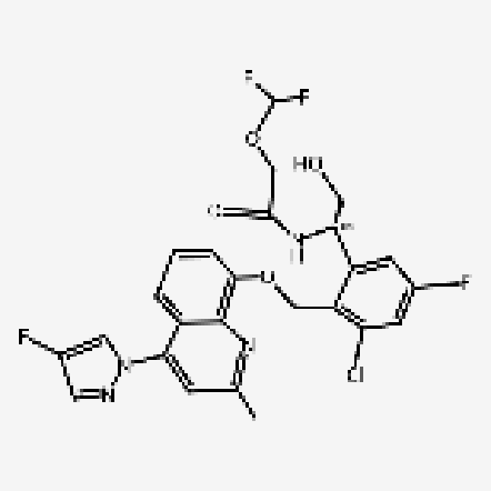 Cc1cc(-n2cc(F)cn2)c2cccc(OCc3c(Cl)cc(F)cc3[C@H](CO)NC(=O)COC(F)F)c2n1